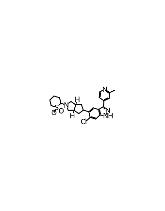 Cc1cc(-c2n[nH]c3cc(Cl)c(C4C[C@@H]5CN(C6CCCCS6(=O)=O)C[C@@H]5C4)cc23)ccn1